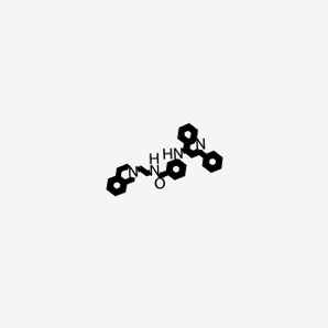 O=C(NCCN1CCc2ccccc2C1)c1cccc(Nc2cc(-c3ccccc3)nc3ccccc23)c1